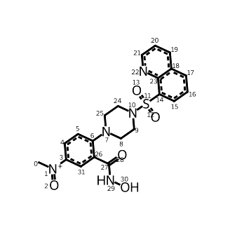 C[N+](=O)c1ccc(N2CCN(S(=O)(=O)c3cccc4cccnc34)CC2)c(C(=O)NO)c1